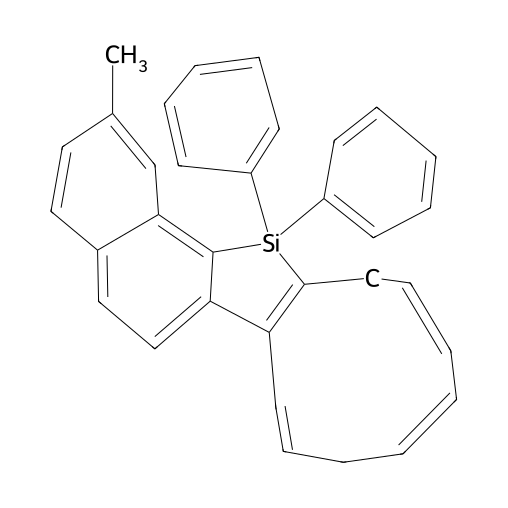 Cc1ccc2ccc3c(c2c1)[Si](c1ccccc1)(c1ccccc1)C1=C3/C=C\C/C=C\C=C/C1